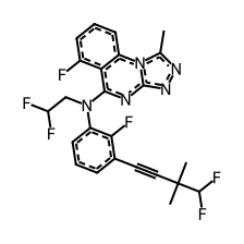 Cc1nnc2nc(N(CC(F)F)c3cccc(C#CC(C)(C)C(F)F)c3F)c3c(F)cccc3n12